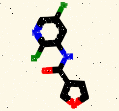 O=C(Nc1cc(Br)cnc1Br)c1ccoc1